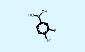 CC(C)c1ccc(B(O)O)cc1F